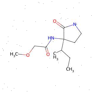 CCC(C)C1(NC(=O)COC)CC[N]C1=O